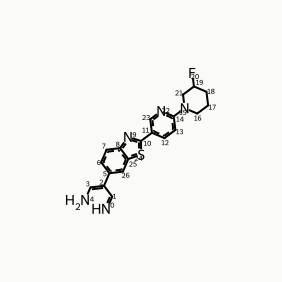 N=C/C(=C\N)c1ccc2nc(-c3ccc(N4CCCC(F)C4)nc3)sc2c1